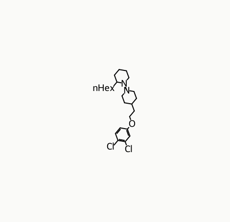 CCCCCCC1CCCCN1N1CCC(CCOc2ccc(Cl)c(Cl)c2)CC1